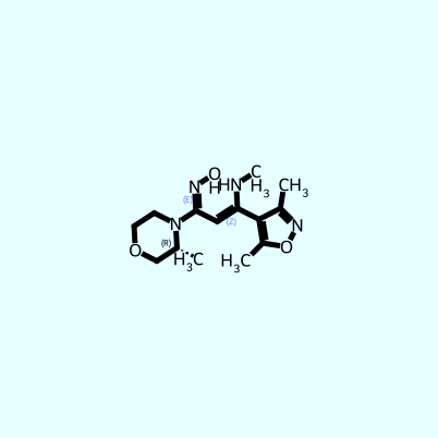 CN/C(=C\C(=N/O)N1CCOC[C@H]1C)c1c(C)noc1C